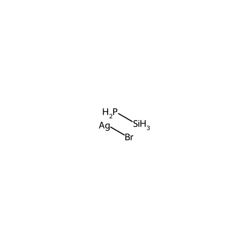 [Br][Ag].[SiH3]P